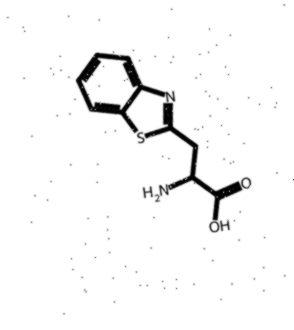 NC(Cc1nc2ccccc2s1)C(=O)O